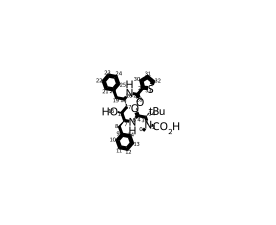 CN(C(=O)O)[C@H](C(=O)N[C@@H](Cc1ccccc1)[C@@H](O)C[C@H](Cc1ccccc1)NC(=O)c1cccs1)C(C)(C)C